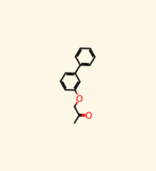 CC(=O)COc1cccc(-c2ccccc2)c1